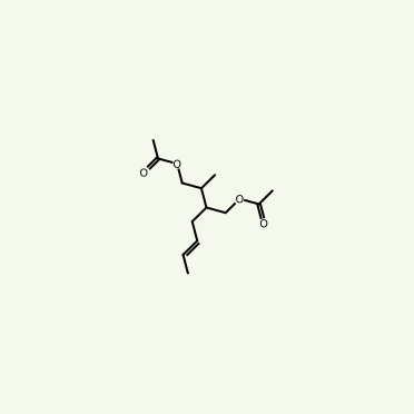 CC=CCC(COC(C)=O)C(C)COC(C)=O